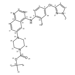 Cn1ccc(Oc2ccc(Nc3ncnc4ccc(N5CCN(C(=O)OC(C)(C)C)CC5)cc34)c(F)c2)n1